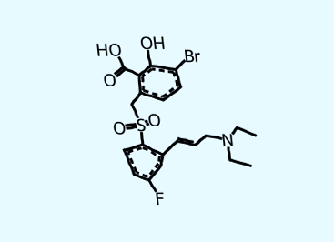 CCN(CC)CC=Cc1cc(F)ccc1S(=O)(=O)Cc1ccc(Br)c(O)c1C(=O)O